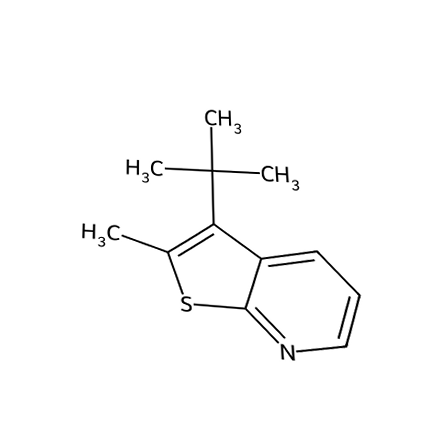 Cc1sc2ncccc2c1C(C)(C)C